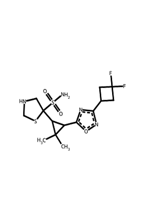 CC1(C)C(c2nc(C3CC(F)(F)C3)no2)C1C1(S(N)(=O)=O)CNCS1